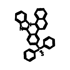 S=P(c1ccccc1)(c1ccccc1)c1ccc2c(c1)c1ccc3ccccc3c1n1c3ccccc3nc21